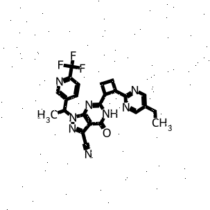 CCc1cnc(C2CCC2c2nc3c(c(C#N)nn3C(C)c3ccc(C(F)(F)F)nc3)c(=O)[nH]2)nc1